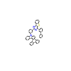 c1ccc(-c2cccc(-c3nc(-c4cccc(-n5c6ccccc6c6c7c8ccccc8c8ccccc8c7ccc65)c4)nc4c3sc3ccccc34)c2)cc1